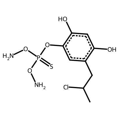 CC(Cl)Cc1cc(OP(=S)(ON)ON)c(O)cc1O